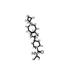 CC(C)NC(=O)N1CCC(c2nc3c(s2)CCN(C2CCC2)CC3)CC1